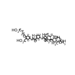 CC1(C)C(O)CCC2(C)C1CCC1(C)C3CCC4(C(=O)NCc5cccc(C(=O)NCc6ccc(OCCCC(=O)O)c(C(=O)O)c6)c5)CCCC4C3CCC12